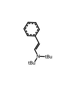 CC(C)(C)N(C=Cc1ccccc1)C(C)(C)C